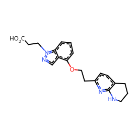 O=C(O)CCn1ncc2c(OCCc3ccc4c(n3)NCCC4)cccc21